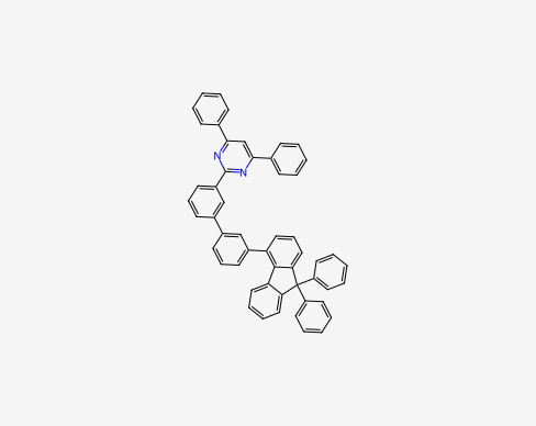 c1ccc(-c2cc(-c3ccccc3)nc(-c3cccc(-c4cccc(-c5cccc6c5-c5ccccc5C6(c5ccccc5)c5ccccc5)c4)c3)n2)cc1